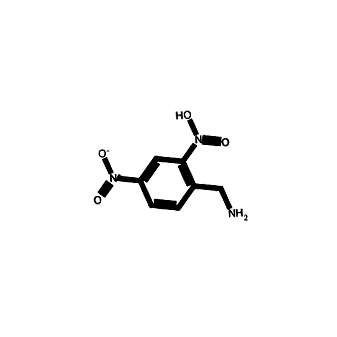 NCc1ccc([N+](=O)[O-])cc1[N+](=O)O